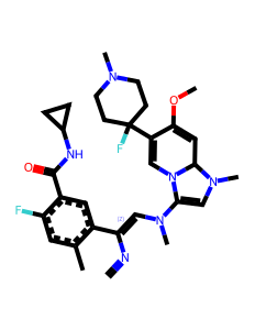 C=N/C(=C\N(C)C1=CN(C)C2C=C(OC)C(C3(F)CCN(C)CC3)=CN12)c1cc(C(=O)NC2CC2)c(F)cc1C